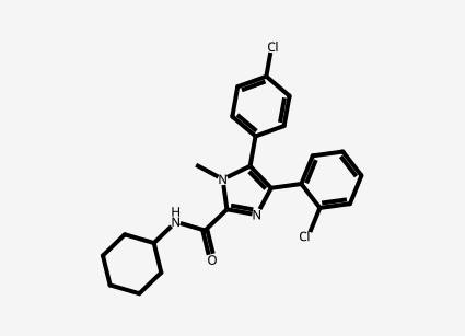 Cn1c(C(=O)NC2CCCCC2)nc(-c2ccccc2Cl)c1-c1ccc(Cl)cc1